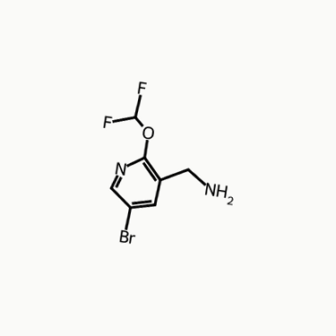 NCc1cc(Br)cnc1OC(F)F